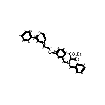 CCOC(=O)C(CC)N(Cc1ccccc1)Cc1cccc(OCCN2C=CSC(C3=CC=CCC3)=C2)c1